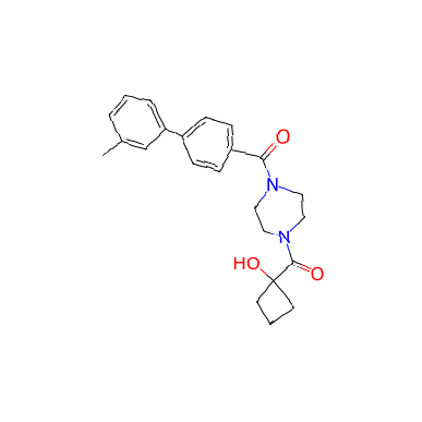 Cc1cccc(-c2ccc(C(=O)N3CCN(C(=O)C4(O)CCC4)CC3)cc2)c1